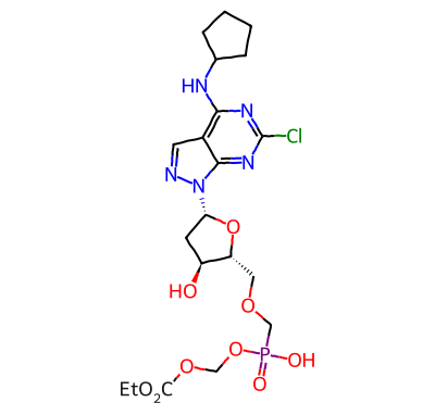 CCOC(=O)OCOP(=O)(O)COC[C@H]1O[C@@H](n2ncc3c(NC4CCCC4)nc(Cl)nc32)C[C@@H]1O